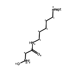 CCCCCCCCCCCCNC(=O)C[NH2+][O-]